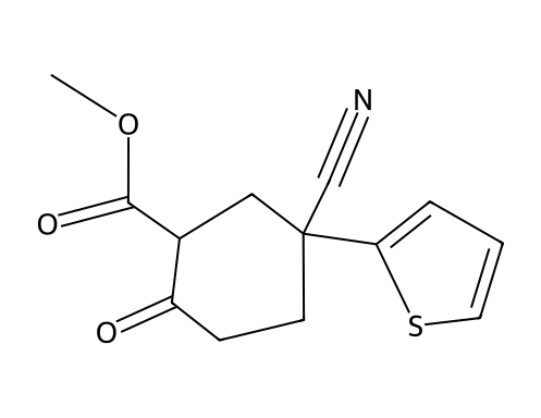 COC(=O)C1CC(C#N)(c2cccs2)CCC1=O